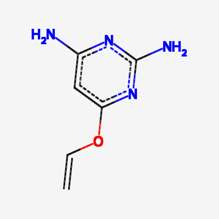 C=COc1cc(N)nc(N)n1